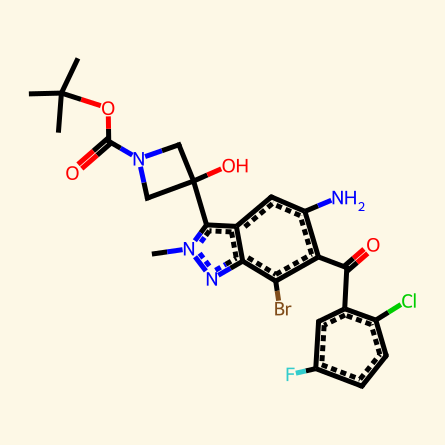 Cn1nc2c(Br)c(C(=O)c3cc(F)ccc3Cl)c(N)cc2c1C1(O)CN(C(=O)OC(C)(C)C)C1